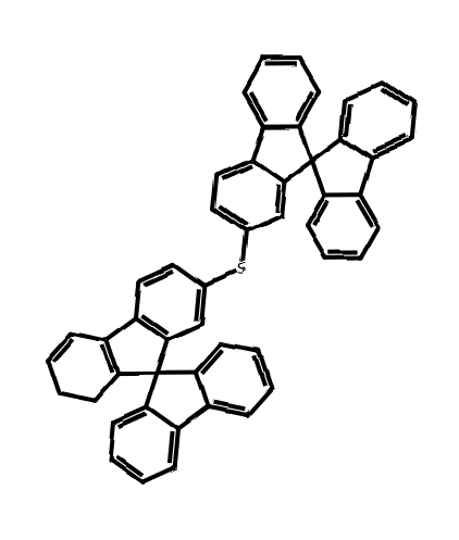 C1=CC2=C(CC1)C1(c3cc(Sc4ccc5c(c4)C4(c6ccccc6-c6ccccc64)c4ccccc4-5)ccc32)c2ccccc2-c2ccccc21